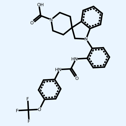 O=C(Nc1ccc(OC(F)(F)F)cc1)Nc1ccccc1N1CC2(CCN(C(=O)O)CC2)c2ccccc21